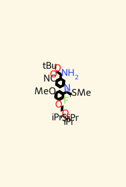 COc1cc(OCCO[Si](C(C)C)(C(C)C)C(C)C)c(F)c(/C([CH]SC)=N\c2ccc(C#N)c(C(N)C(=O)OC(C)(C)C)c2)c1